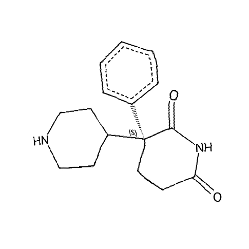 O=C1CC[C@@](c2ccccc2)(C2CCNCC2)C(=O)N1